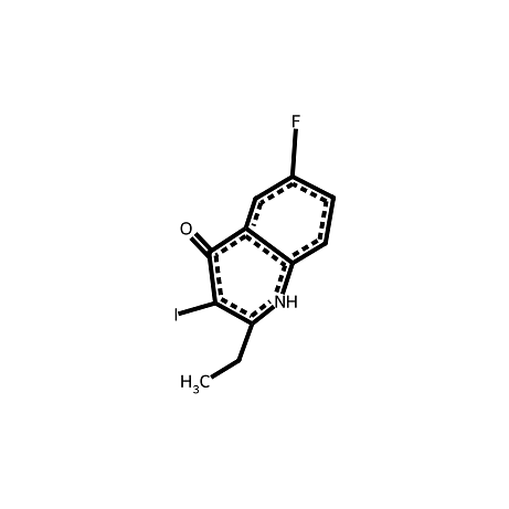 CCc1[nH]c2ccc(F)cc2c(=O)c1I